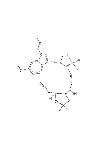 COCOc1cc(OC)cc2c1C(=O)OC(C)C(C(F)(F)F)/C=C\C(O)C1OC(C)(C)O[C@H]1C/C=C/2